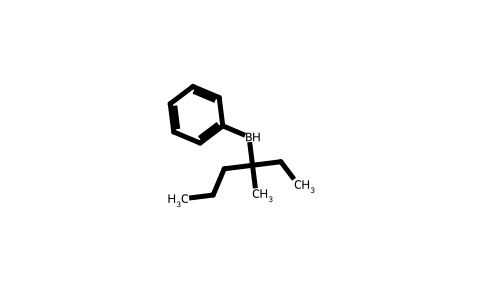 CCCC(C)(Bc1ccccc1)CC